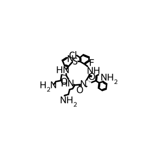 C/C=C(/C[C@H]1C(=O)NCc2c(F)ccc(Cl)c2Sc2ncccc2N[C@H](CCCN)C(=O)NC(CCCCN)C(=O)N1C)c1ccccc1N